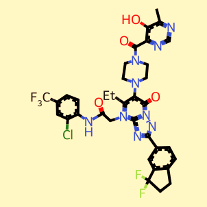 CCc1c(N2CCN(C(=O)c3ncnc(C)c3O)CC2)c(=O)n2nc(-c3ccc4c(c3)C(F)(F)CC4)nc2n1CC(=O)Nc1ccc(C(F)(F)F)cc1Cl